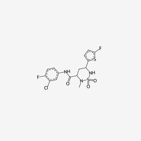 CN1C(C(=O)Nc2ccc(F)c(Cl)c2)CC(c2ccc(F)s2)NS1(=O)=O